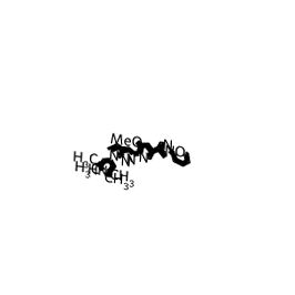 COc1cc(-c2cnn(C3CCCCO3)c2)cnc1-c1cc2ccn(C3CC(C)(C)NC(C)(C)C3)c2nn1